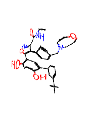 CCNC(=O)c1noc(-c2cc(-c3cccc(C(C)(C)C)c3)c(O)cc2O)c1-c1ccc(CN2CCOCC2)cc1